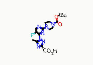 Cc1nc(C(=O)O)nn1-c1nc(N2CCN(C(=O)OC(C)(C)C)CC2)ncc1F